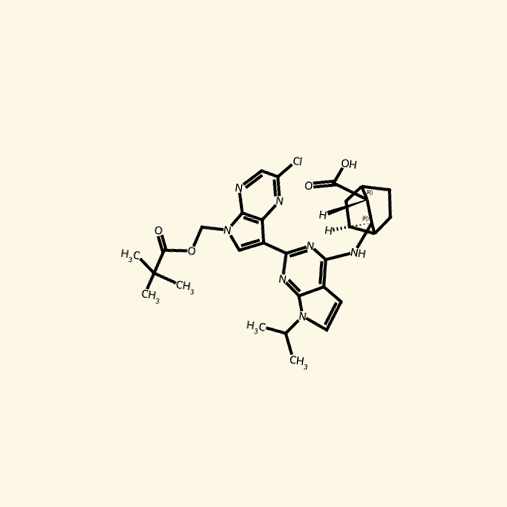 CC(C)n1ccc2c(N[C@@H]3C4CCC(CC4)[C@H]3C(=O)O)nc(-c3cn(COC(=O)C(C)(C)C)c4ncc(Cl)nc34)nc21